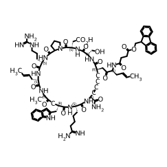 CC=CC[C@H](NC(=O)CCC(=O)OCC1c2ccccc2-c2ccccc21)C(=O)C[C@H]1CCCC[C@@H](C(N)=O)NC(=O)[C@H](CCCCC(=N)N)NC(=O)[C@H](Cc2cc3ccccc3[nH]2)CC(=O)[C@H](C)NC(=O)[C@H](CC=CC)NC(=O)[C@H](CCCNC(=N)N)NC(=O)C2CCCN2C(=O)[C@H](CC(=O)O)NC(=O)[C@H](CO)NC1=O